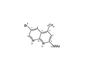 CNc1cc(C)c2cc(Br)cnc2n1